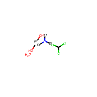 CC(C)O.CCN(CC)CC.CO.ClC(Cl)Cl.O